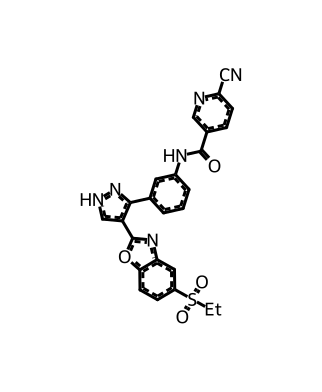 CCS(=O)(=O)c1ccc2oc(-c3c[nH]nc3-c3cccc(NC(=O)c4ccc(C#N)nc4)c3)nc2c1